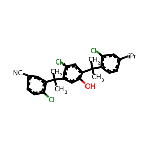 CC(C)c1ccc(C(C)(C)c2cc(Cl)c(C(C)(C)c3cc(C#N)ccc3Cl)cc2O)c(Cl)c1